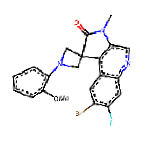 COc1ccccc1N1CC2(C1)C(=O)N(C)c1cnc3cc(F)c(Br)cc3c12